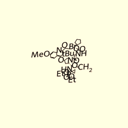 C=C[C@@H]1C[C@]1(NC(=O)[C@@H]1C[C@@H](Oc2cc(C(=O)CBr)nc3cc(OC)ccc23)CN1C(=O)[C@@H](NC(=O)OC1CCCC1)C(C)(C)C)P(=O)(OCC)OCC